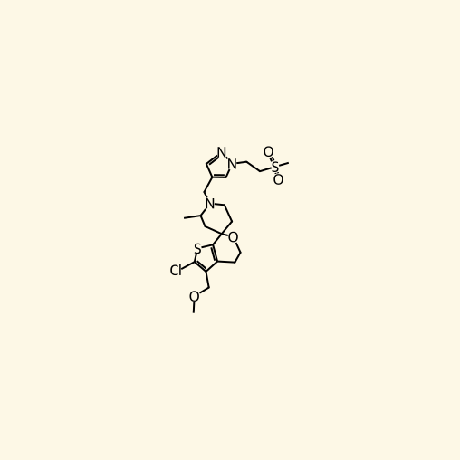 COCc1c(Cl)sc2c1CCOC21CCN(Cc2cnn(CCS(C)(=O)=O)c2)C(C)C1